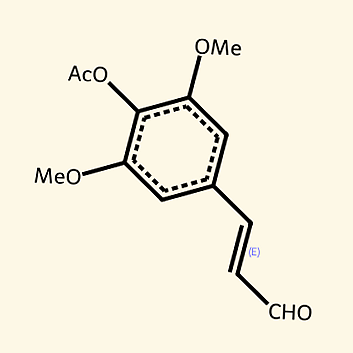 COc1cc(/C=C/C=O)cc(OC)c1OC(C)=O